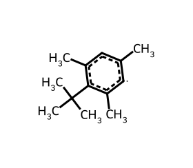 Cc1[c]c(C)c(C(C)(C)C)c(C)c1